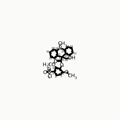 COc1ccc(S(=O)(=O)Cl)c(OC)c1OC(=O)C1(CO)c2ccccc2N(C)c2ccccc21